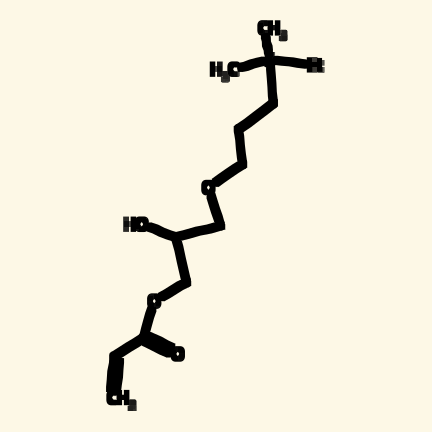 C=CC(=O)OCC(O)COCCCS(C)(C)CC